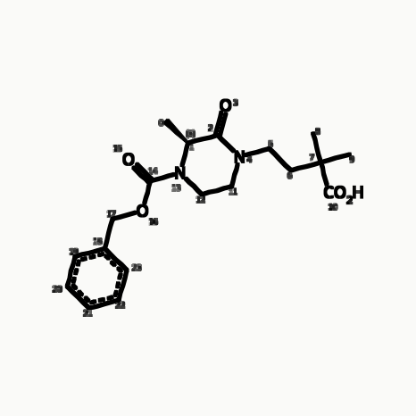 C[C@H]1C(=O)N(CCC(C)(C)C(=O)O)CCN1C(=O)OCc1ccccc1